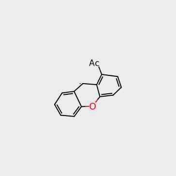 CC(=O)c1cccc2c1[CH]c1ccccc1O2